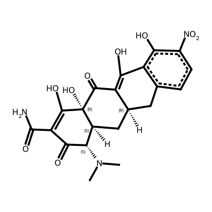 CN(C)[C@@H]1C(=O)C(C(N)=O)=C(O)[C@@]2(O)C(=O)C3=C(O)c4c(ccc([N+](=O)[O-])c4O)C[C@H]3C[C@@H]12